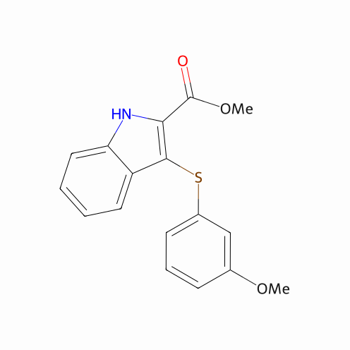 COC(=O)c1[nH]c2ccccc2c1Sc1cccc(OC)c1